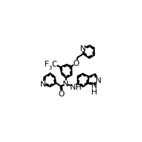 O=C(c1cccnc1)N(Nc1ccc2cn[nH]c2c1)c1cc(OCc2ccccn2)cc(C(F)(F)F)c1